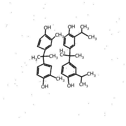 CC(C)c1cc(C(C)(C)c2ccc(O)c(C(C)C)c2)ccc1O.Cc1cc(C(C)(C)c2ccc(O)c(C)c2)ccc1O